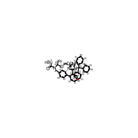 CCCCC(=O)N(Cc1ccc(-c2ccccc2-c2nnnn2C(c2ccccc2)(c2ccccc2)c2ccccc2)cc1)C(OCC(=O)O)C(C)C